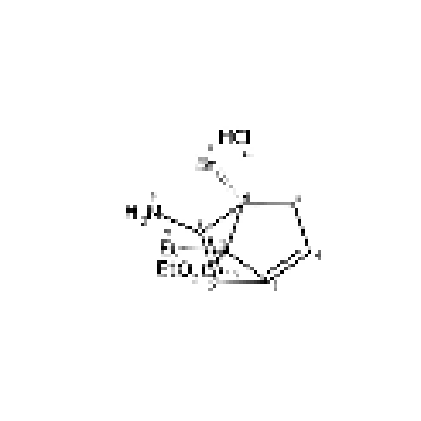 CCOC(=O)C1(CC)C2=CC[C@]1(Br)C(N)=C2.Cl